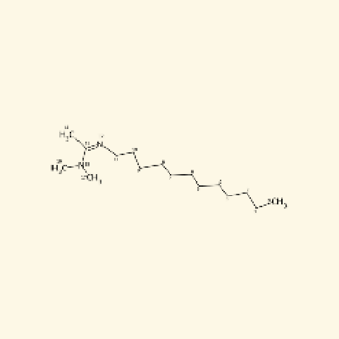 CCCCCCCCCCCCN=C(C)N(C)C